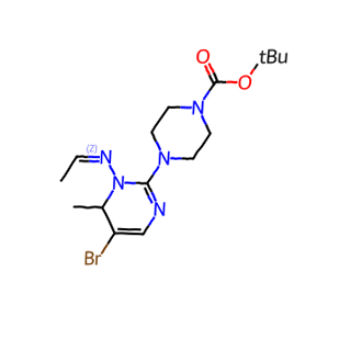 C/C=N\N1C(N2CCN(C(=O)OC(C)(C)C)CC2)=NC=C(Br)C1C